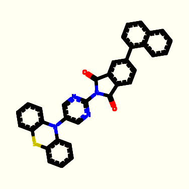 O=C1c2ccc(-c3cccc4ccccc34)cc2C(=O)N1c1ncc(N2c3ccccc3Sc3ccccc32)cn1